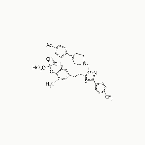 CC(=O)c1ccc(N2CCN(Cc3nc(-c4ccc(C(F)(F)F)cc4)sc3CCc3ccc(OC(C)(C)C(=O)O)c(C)c3)CC2)cc1